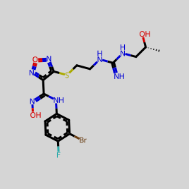 C[C@@H](O)CNC(=N)NCCSc1nonc1/C(=N/O)Nc1ccc(F)c(Br)c1